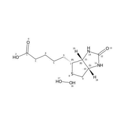 O=C(O)CCCC[C@H]1SC[C@H]2NC(=O)N[C@H]21.OO